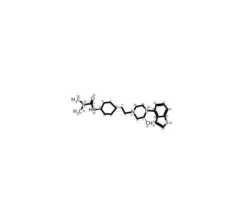 C[C@@H]1CN(CC[C@H]2CC[C@H](NC(=O)N(C)C)CC2)CCN1c1cccc2sccc12